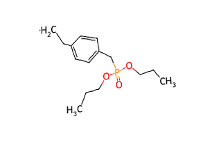 [CH2]Cc1ccc(CP(=O)(OCCC)OCCC)cc1